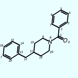 O=C(c1ccccc1)N1CCC(Cc2ccccc2)CC1